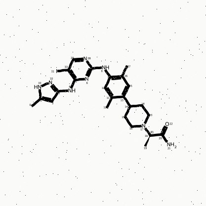 Cc1cc(Nc2nc(Nc3cc(C)c(C4CCN([C@H](C)C(N)=O)CC4)cc3C)ncc2I)n[nH]1